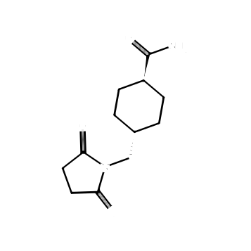 NC(=O)[C@H]1CC[C@H](CN2C(=O)CCC2=O)CC1